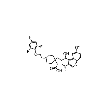 COc1ccc2ncc(N(C)C)c(C(O)CCC3(CC(=O)O)CCN(CCOc4c(F)cc(F)cc4F)CC3)c2c1